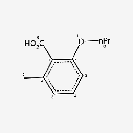 CCCOc1cccc(C)c1C(=O)O